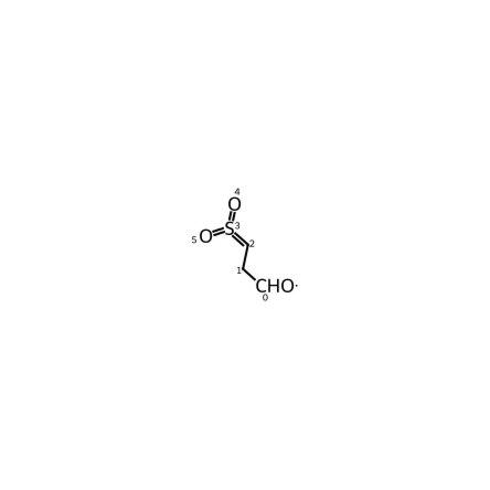 O=[C]CC=S(=O)=O